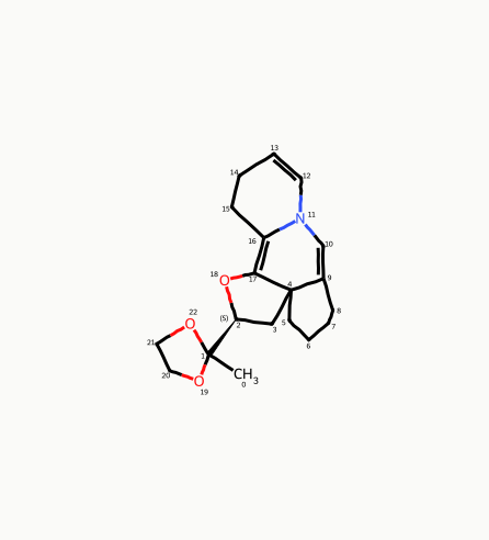 CC1([C@@H]2CC34CCCCC3=CN3C=CCCC3=C4O2)OCCO1